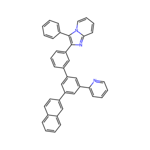 c1ccc(-c2c(-c3cccc(-c4cc(-c5ccc6ccccc6c5)cc(-c5ccccn5)c4)c3)nc3ccccn23)cc1